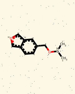 C[SiH](C)OCc1ccc2cocc2c1